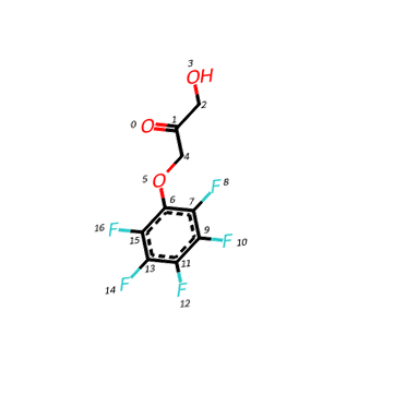 O=C(CO)COc1c(F)c(F)c(F)c(F)c1F